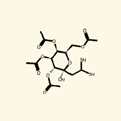 CC(=O)OC[C@H]1O[C@@](O)(CC(S)S)[C@H](OC(C)=O)[C@@H](OC(C)=O)[C@H]1OC(C)=O